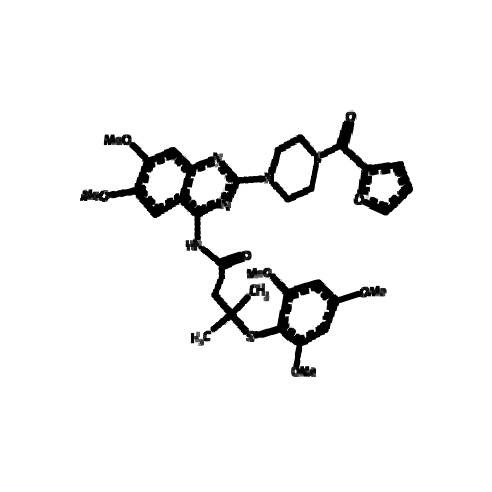 COc1cc(OC)c(SC(C)(C)CC(=O)Nc2nc(N3CCN(C(=O)c4ccco4)CC3)nc3cc(OC)c(OC)cc23)c(OC)c1